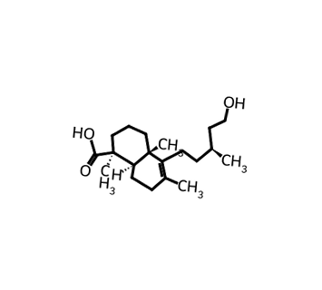 CC1=C(CC[C@H](C)CCO)[C@@]2(C)CCC[C@](C)(C(=O)O)[C@@H]2CC1